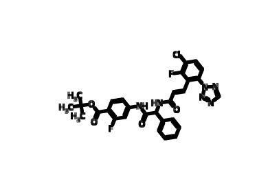 CC(C)(C)OC(=O)c1ccc(NC(=O)C(NC(=O)C=Cc2c(-n3ncnn3)ccc(Cl)c2F)c2ccccc2)cc1F